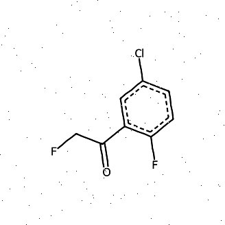 O=C(CF)c1cc(Cl)ccc1F